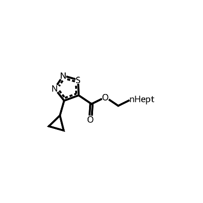 CCCCCCCCOC(=O)c1snnc1C1CC1